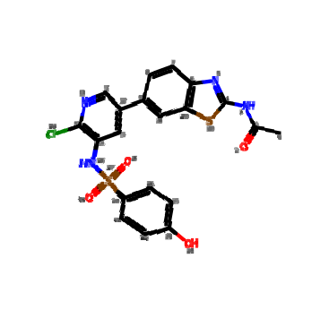 CC(=O)Nc1nc2ccc(-c3cnc(Cl)c(NS(=O)(=O)c4ccc(O)cc4)c3)cc2s1